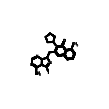 Cc1cccc2cc(CN3N=C(I)C4C(N)=NC=NC43)n(C3CCCC3)c(=O)c12